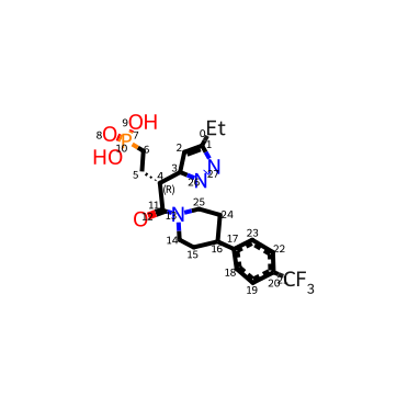 CCC1=CC([C@@H](CCP(=O)(O)O)C(=O)N2CCC(c3ccc(C(F)(F)F)cc3)CC2)N=N1